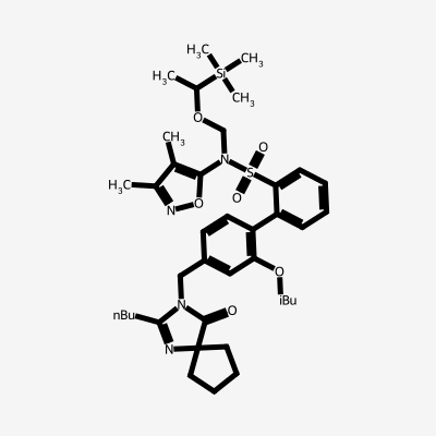 CCCCC1=NC2(CCCC2)C(=O)N1Cc1ccc(-c2ccccc2S(=O)(=O)N(COC(C)[Si](C)(C)C)c2onc(C)c2C)c(OC(C)CC)c1